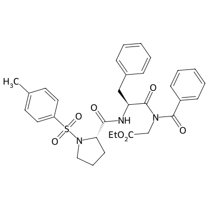 CCOC(=O)CN(C(=O)c1ccccc1)C(=O)[C@H](Cc1ccccc1)NC(=O)[C@@H]1CCCN1S(=O)(=O)c1ccc(C)cc1